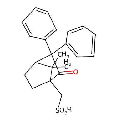 CC1(C)C2CCC1(CS(=O)(=O)O)C(=O)C2(c1ccccc1)c1ccccc1